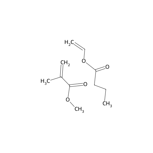 C=C(C)C(=O)OC.C=COC(=O)CCC